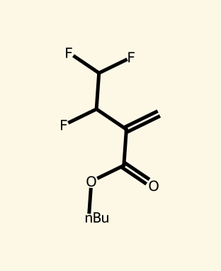 C=C(C(=O)OCCCC)C(F)C(F)F